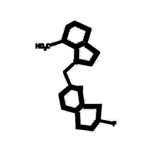 O=C(O)c1cccc2ccn(Cc3ccc4ccc(F)cc4n3)c12